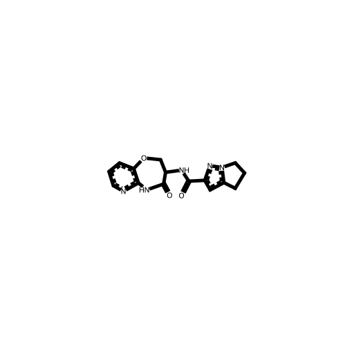 O=C(NC1COc2cccnc2NC1=O)c1cc2n(n1)CCC2